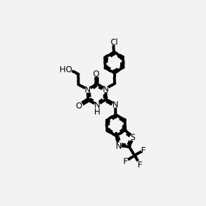 O=c1[nH]/c(=N\c2ccc3nc(C(F)(F)F)sc3c2)n(Cc2ccc(Cl)cc2)c(=O)n1CCO